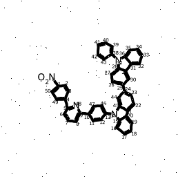 O=[N+]([O-])c1ccc(-c2cccc(-c3ccc(-n4c5ccccc5c5ccc(-c6ccc7c(c6)c6ccccc6n7-c6ccccc6)cc54)cc3)n2)cc1